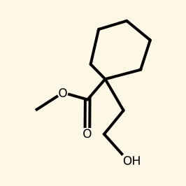 COC(=O)C1(CCO)CCCCC1